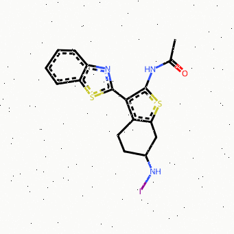 CC(=O)Nc1sc2c(c1-c1nc3ccccc3s1)CCC(NI)C2